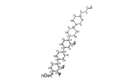 C=CCCC1CCC(C2CCC(c3ccc(-c4ccc(-c5ccc(CCCCCCCCCC)c(F)c5F)cc4)cc3F)CC2)CC1